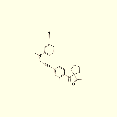 CC(=O)C1(Nc2ccc(C#CCN(C)c3cccc(C#N)c3)cc2C)CCCC1